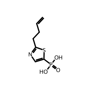 C=CCCc1ncc(P(=O)(O)O)s1